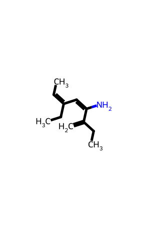 C=C(CC)/C(N)=C\C(=C/C)CC